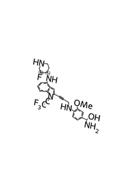 COc1cc(C(N)O)ccc1NCC#Cc1cc2c(N[C@H]3CCNC[C@H]3F)cccc2n1CC(F)(F)F